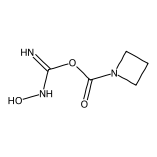 N=C(NO)OC(=O)N1CCC1